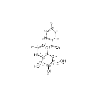 CC(=O)N[C@H]1C(OC(=O)c2ccc(C)cn2)O[C@H](CO)[C@@H](O)[C@@H]1O